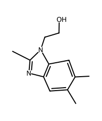 Cc1cc2nc(C)n(CCO)c2cc1C